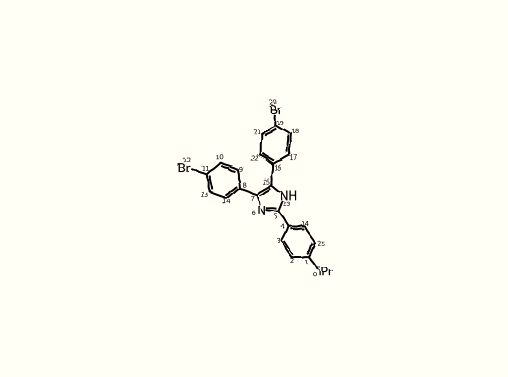 CC(C)c1ccc(-c2nc(-c3ccc(Br)cc3)c(-c3ccc(Br)cc3)[nH]2)cc1